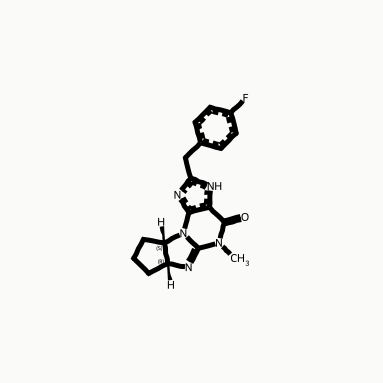 CN1C(=O)c2[nH]c(Cc3ccc(F)cc3)nc2N2C1=N[C@@H]1CCC[C@@H]12